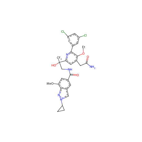 CCOc1c(CC(N)=O)cc(C(O)(CNC(=O)c2cc(OC)c3nn(C4CC4)cc3c2)C(F)(F)F)nc1-c1cc(Cl)cc(Cl)c1